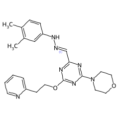 Cc1ccc(N/N=C/c2nc(OCCc3ccccn3)nc(N3CCOCC3)n2)cc1C